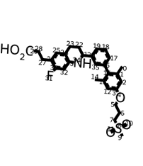 Cc1cc(OCCCS(C)(=O)=O)cc(C)c1-c1cccc(C2CCc3cc(CCC(=O)O)c(F)cc3N2)c1